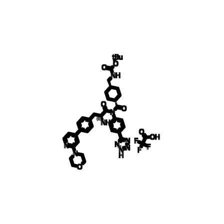 CC(C)(C)OC(=O)NC[C@H]1CC[C@H](C(=O)N(C(=O)[C@@H](N)Cc2ccc(-c3ccnc(N4CCOCC4)c3)cc2)c2ccc(-c3nn[nH]n3)cc2)CC1.O=C(O)C(F)(F)F